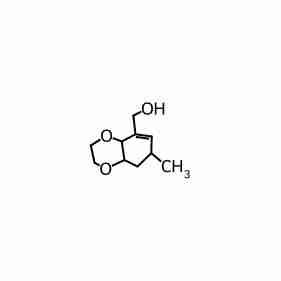 CC1C=C(CO)C2OCCOC2C1